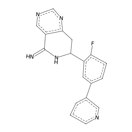 N=C1NC(c2cc(-c3cccnc3)ccc2F)Cc2ncncc21